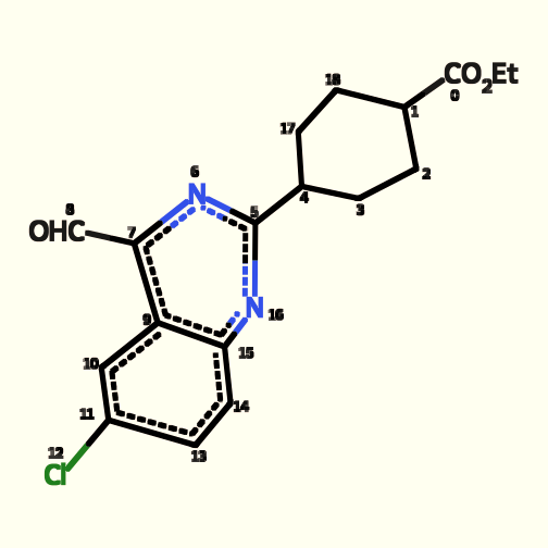 CCOC(=O)C1CCC(c2nc(C=O)c3cc(Cl)ccc3n2)CC1